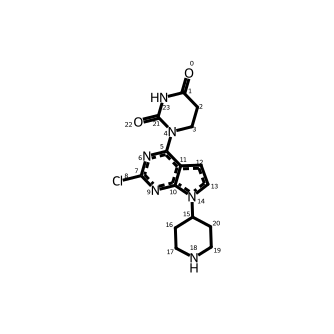 O=C1CCN(c2nc(Cl)nc3c2ccn3C2CCNCC2)C(=O)N1